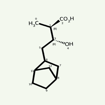 C[C@@H](C(=O)O)[C@H](O)CC1CC2CCC1C2